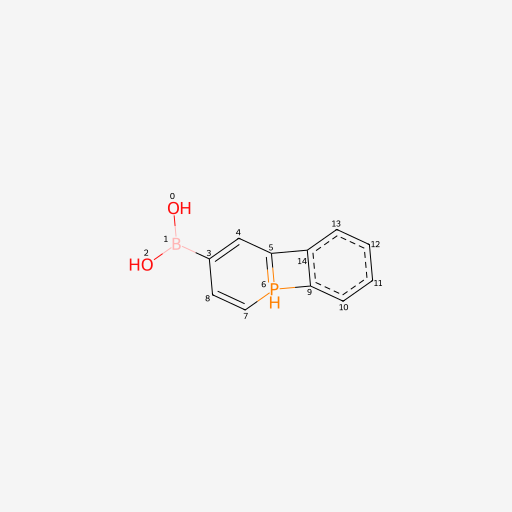 OB(O)C1=CC2=[PH](C=C1)c1ccccc12